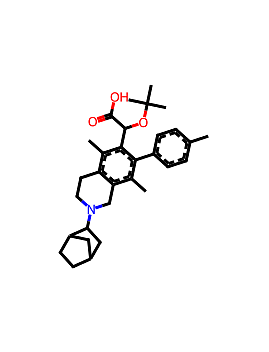 Cc1ccc(-c2c(C)c3c(c(C)c2C(OC(C)(C)C)C(=O)O)CCN(C2CC4CCC2C4)C3)cc1